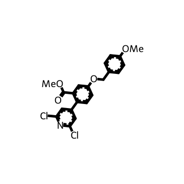 COC(=O)c1cc(OCc2ccc(OC)cc2)ccc1-c1cc(Cl)nc(Cl)c1